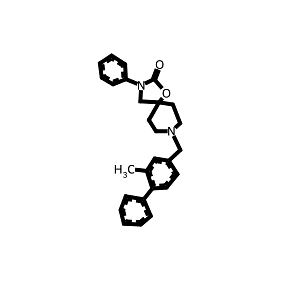 Cc1cc(CN2CCC3(CC2)CN(c2ccccc2)C(=O)O3)ccc1-c1ccccc1